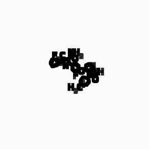 CN1CCC(n2c(=O)[nH]c3nccc(Oc4ccc(-c5nn(-c6ccccc6)c(C(F)(F)F)c5C(N)=O)cc4F)c32)CC1